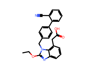 CCOc1nc2cccc(CC(=O)O)c2n1Cc1ccc(-c2ccccc2C#N)cc1